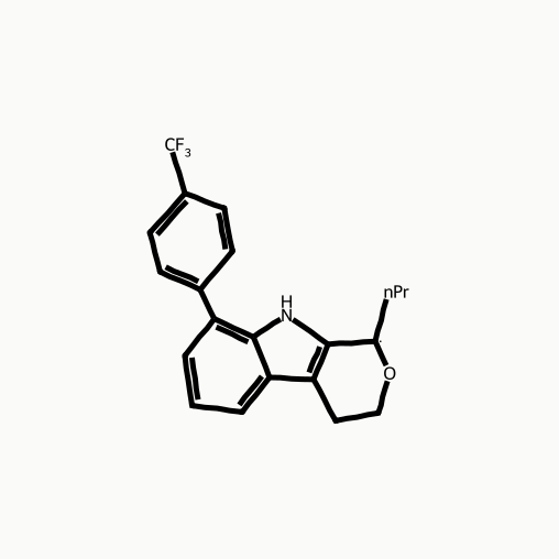 CCC[C]1OCCc2c1[nH]c1c(-c3ccc(C(F)(F)F)cc3)cccc21